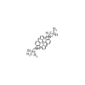 CCC(C)(C)CNc1ccc(F)[c]([Ti]([c]2c(F)ccc(NCC(C)(C)CC)c2F)([CH]2C=CC=C2)[CH]2C=CC=C2)c1F